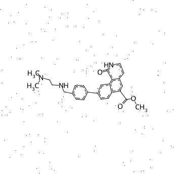 COC(=O)c1cc2cc[nH]c(=O)c2c2cc(-c3ccc(CNCCN(C)C)cc3)ccc12